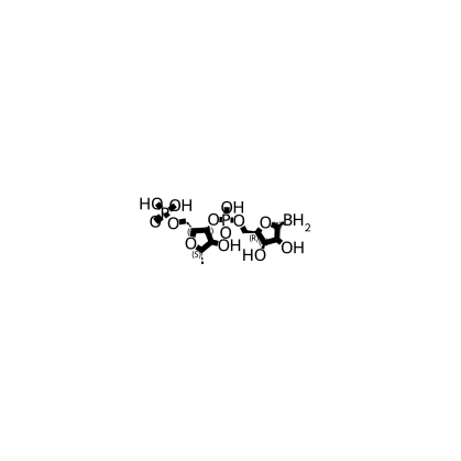 B[C@@H]1O[C@H](COP(=O)(O)O[C@@H]2C(O)[C@H](C)O[C@@H]2COP(=O)(O)O)[C@H](O)C1O